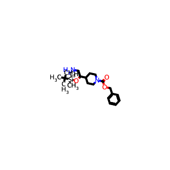 CC(C)(C)[Si](C)(C)OC(CN)C1CCN(C(=O)OCc2ccccc2)CC1